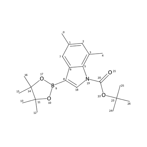 Cc1cc(C)c2c(c1)c(B1OC(C)(C)C(C)(C)O1)cn2C(=O)OC(C)(C)C